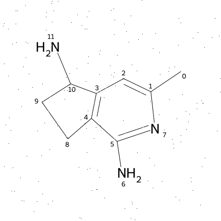 Cc1cc2c(c(N)n1)CCC2N